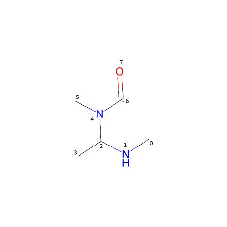 CNC(C)N(C)[C]=O